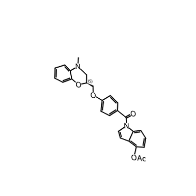 CC(=O)Oc1cccc2c1ccn2C(=O)c1ccc(OC[C@@H]2CN(C)c3ccccc3O2)cc1